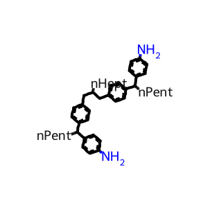 CCCCCCCC(Cc1ccc(C(CCCCC)c2ccc(N)cc2)cc1)Cc1ccc(C(CCCCC)c2ccc(N)cc2)cc1